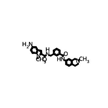 CN1CCc2ccc(NC(=O)c3cccc(CNC(=O)c4cc5cc(N)ccc5n4C)c3)cc2C1